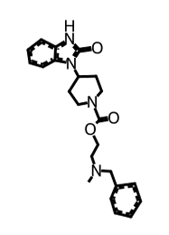 CN(CCOC(=O)N1CCC(n2c(=O)[nH]c3ccccc32)CC1)Cc1ccccc1